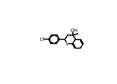 CC1(O)CC(c2ccc(Cl)cc2)SC2=CCC=CC21